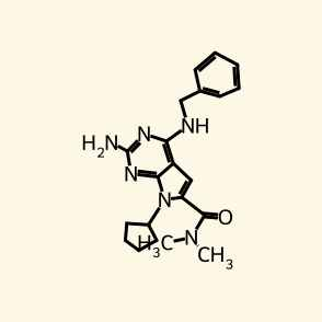 CN(C)C(=O)c1cc2c(NCc3ccccc3)nc(N)nc2n1C1CCCC1